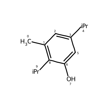 Cc1cc(C(C)C)cc(O)c1C(C)C